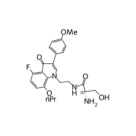 CCCOc1ccc(F)c2c(=O)c(-c3ccc(OC)cc3)cn(CCNC(=O)[C@@H](N)CO)c12